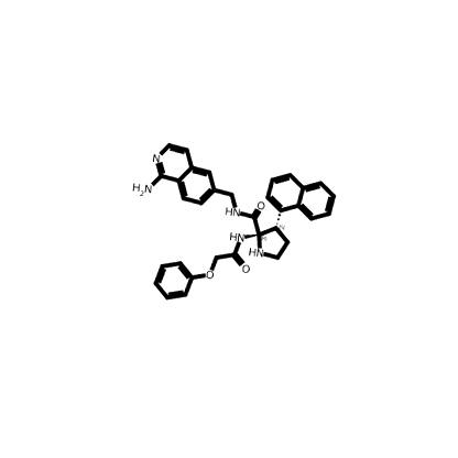 Nc1nccc2cc(CNC(=O)[C@@]3(NC(=O)COc4ccccc4)NCC[C@H]3c3cccc4ccccc34)ccc12